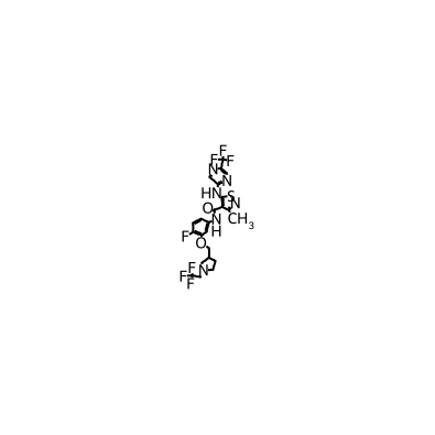 Cc1nsc(Nc2cnc(C(F)(F)F)cn2)c1C(=O)Nc1ccc(F)c(OCC2CCN(CC(F)(F)F)C2)c1